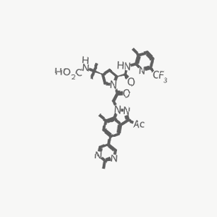 CC(=O)c1nn(CC(=O)N2C[C@@H](C(C)(C)NC(=O)O)C[C@H]2C(=O)Nc2nc(C(F)(F)F)ccc2C)c2c(C)cc(-c3cnc(C)nc3)cc12